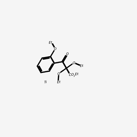 CCOC(=O)C(OCC)(OCC)C(=O)c1ccccc1OCC.[Ti]